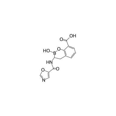 O=C(NC1Cc2cccc(C(=O)O)c2OB1O)c1cnco1